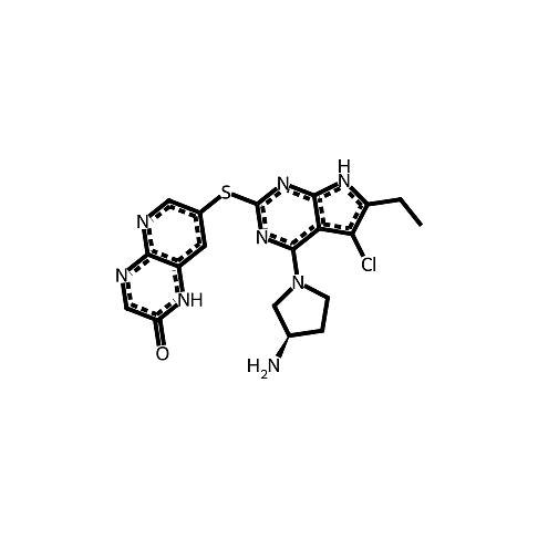 CCc1[nH]c2nc(Sc3cnc4ncc(=O)[nH]c4c3)nc(N3CC[C@@H](N)C3)c2c1Cl